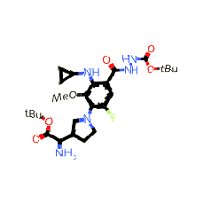 COc1c(NC2CC2)c(C(=O)NNC(=O)OC(C)(C)C)cc(F)c1N1CCC(C(N)C(=O)OC(C)(C)C)C1